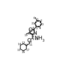 Cc1cccc(-c2nc(COCC3CCCCC3)c(C)o2)c1.N